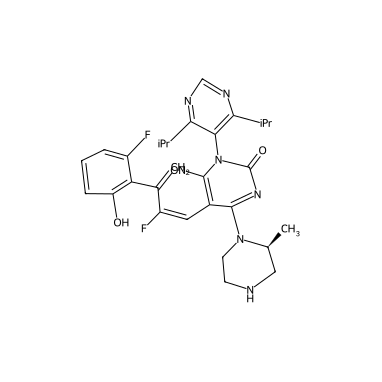 C=C(/C(F)=C\c1c(N2CCNC[C@@H]2C)nc(=O)n(-c2c(C(C)C)ncnc2C(C)C)c1N=O)c1c(O)cccc1F